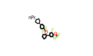 CCC[C@H]1CC[C@H](c2ccc(C(F)(F)Oc3ccccc3-c3cc(F)c(OC(F)F)c(F)c3)cc2)CC1